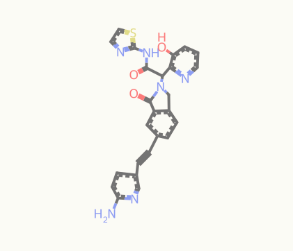 Nc1ccc(C#Cc2ccc3c(c2)C(=O)N(C(C(=O)Nc2nccs2)c2ncccc2O)C3)cn1